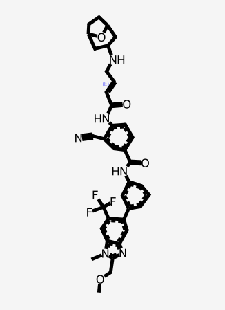 COCc1nc2cc(-c3cccc(NC(=O)c4ccc(NC(=O)/C=C/CNC5CC6CCC(C5)O6)c(C#N)c4)c3)c(C(F)(F)F)cc2n1C